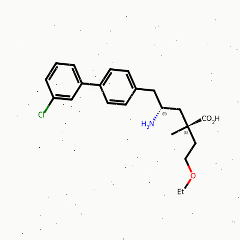 CCOCC[C@](C)(C[C@H](N)Cc1ccc(-c2cccc(Cl)c2)cc1)C(=O)O